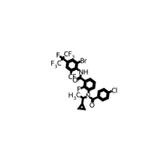 CC(C1CC1)N(C(=O)c1ccc(Cl)cc1)c1cccc(C(=O)Nc2c(Br)cc(C(F)(C(F)(F)F)C(F)(F)F)cc2C(F)(F)F)c1F